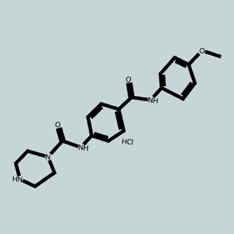 COc1ccc(NC(=O)c2ccc(NC(=O)N3CCNCC3)cc2)cc1.Cl